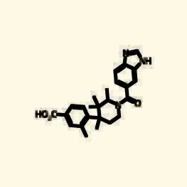 Cc1cc(C(=O)O)ccc1C1(C)CCN(C(=O)c2ccc3nc[nH]c3c2)C(C)C1(C)C